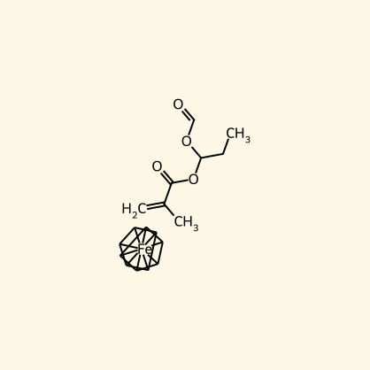 C=C(C)C(=O)OC(CC)OC=O.[CH]12[CH]3[CH]4[CH]5[CH]1[Fe]23451678[CH]2[CH]1[CH]6[CH]7[CH]28